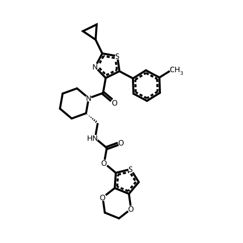 Cc1cccc(-c2sc(C3CC3)nc2C(=O)N2CCCC[C@H]2CNC(=O)Oc2scc3c2OCCO3)c1